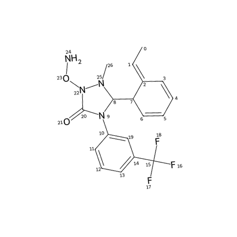 CC=C1C=CC=CC1C1N(c2cccc(C(F)(F)F)c2)C(=O)N(ON)N1C